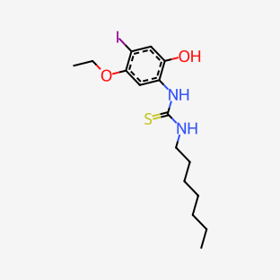 CCCCCCCNC(=S)Nc1cc(OCC)c(I)cc1O